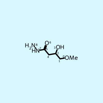 COCC(O)CC(=O)NN